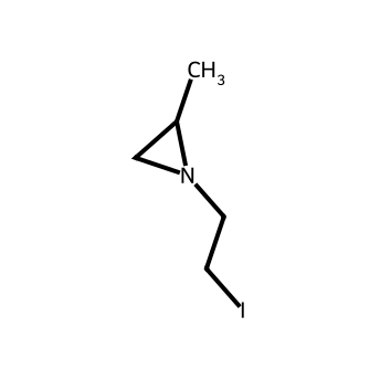 CC1CN1CCI